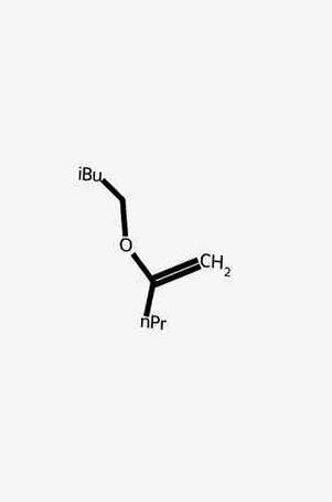 C=C(CCC)OCC(C)CC